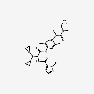 CCn1nccc1C(=O)N[C@H](C(=O)Nc1cc(C)c(C(C)C(=O)N(C)CC(F)(F)F)cc1F)C(C1CC1)C1CC1